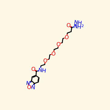 NNC(=O)CCOCCOCCOCCOCCNC(=O)c1ccc2nonc2c1